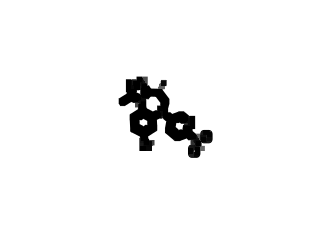 Cc1nnc2n1-c1ccc(Br)cc1N(c1ccc([N+](=O)[O-])nc1)C[C@H]2C